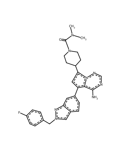 CN(C)C(=O)N1CCC(c2cc(-c3ccc4cn(Cc5ccc(F)cc5)nc4c3)c3c(N)ncnn23)CC1